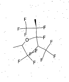 CC(OC(F)(C(F)C(F)(F)F)[C@@](C)(F)C(F)(F)F)C(F)(F)F